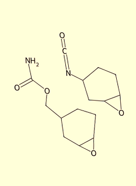 NC(=O)OCC1CCC2OC2C1.O=C=NC1CCC2OC2C1